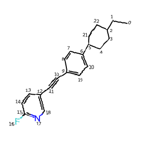 CCC1CCC(c2ccc(C#Cc3ccc(F)nc3)cc2)CC1